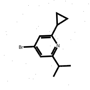 CC(C)c1cc(Br)cc(C2CC2)n1